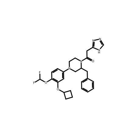 O=C(Cc1nnc[nH]1)N1CCN(c2ccc(OC(F)F)c(OC3CCC3)c2)CC1Cc1ccccc1